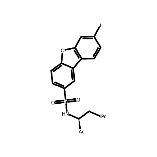 CC(=O)[C@H](CC(C)C)NS(=O)(=O)c1ccc2oc3cc(I)ccc3c2c1